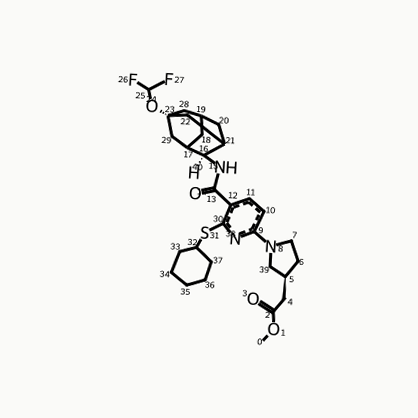 COC(=O)C[C@@H]1CCN(c2ccc(C(=O)N[C@H]3C4CC5CC3C[C@](OC(F)F)(C5)C4)c(SC3CCCCC3)n2)C1